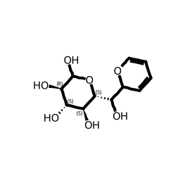 OC(C1C=CC=CO1)[C@H]1OC(O)[C@H](O)[C@@H](O)[C@@H]1O